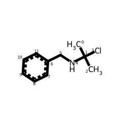 CC(C)(Cl)NCc1ccccc1